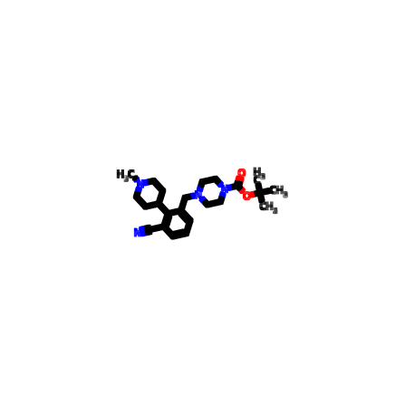 CN1CCC(c2c(C#N)cccc2CN2CCN(C(=O)OC(C)(C)C)CC2)CC1